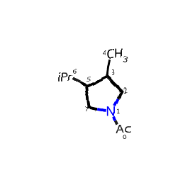 CC(=O)N1CC(C)C(C(C)C)C1